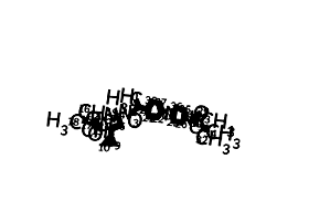 CC(C(=O)Nc1cc(C2CC2)n(C(=O)OC(C)(C)C)n1)c1ccc(N2CCN(C(=O)OC(C)(C)C)CC2)cc1